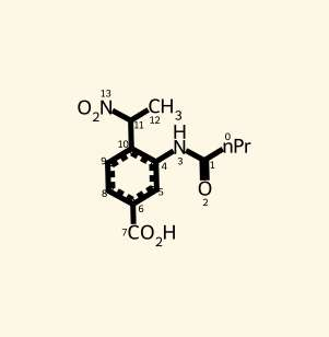 CCCC(=O)Nc1cc(C(=O)O)ccc1C(C)[N+](=O)[O-]